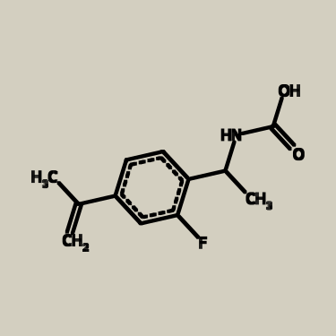 C=C(C)c1ccc(C(C)NC(=O)O)c(F)c1